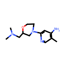 Cc1cnc(N2CCOC(CN(C)C)C2)cc1N